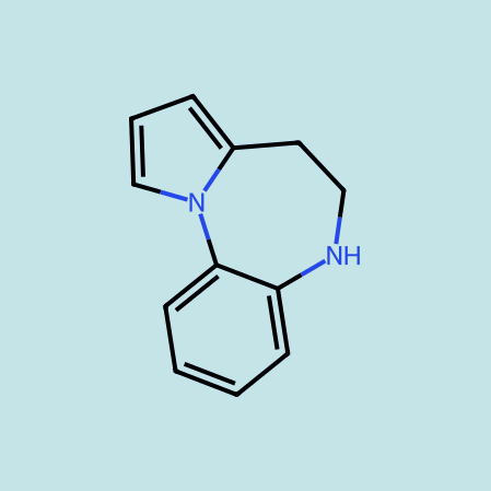 c1ccc2c(c1)NCCc1cccn1-2